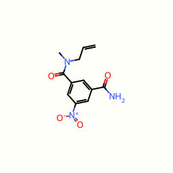 C=CCN(C)C(=O)c1cc(C(N)=O)cc([N+](=O)[O-])c1